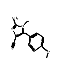 COc1ccc(-c2c(C#N)nc(N)n2C)cc1